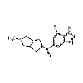 CN1CC2CN(C(=O)c3cc(F)c4[nH]nnc4c3)CC2C1